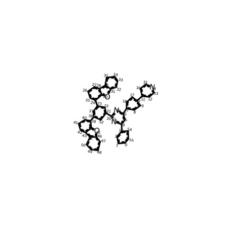 c1ccc(-c2cc(-c3ccc(-c4ccncc4)cc3)nc(-c3cc(-c4cccc5c4oc4ccccc45)cc(-c4cccc5c4oc4ccccc45)c3)n2)cc1